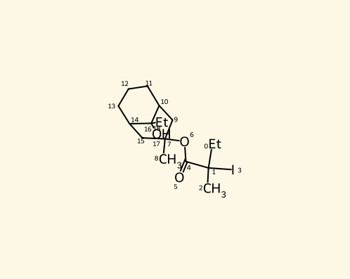 CCC(C)(I)C(=O)OC1(C)CC2CCCC(C1)C2(O)CC